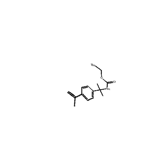 C=C(C)c1ccc(C(C)(C)NC(=O)OCC(C)CC)cc1